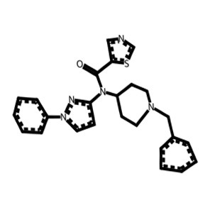 O=C(c1cncs1)N(c1ccn(-c2ccccc2)n1)C1CCN(Cc2ccccc2)CC1